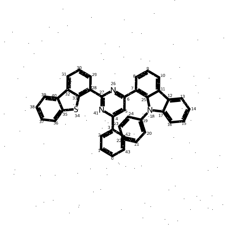 c1ccc(-c2cc(-c3cccc4c5ccccc5n(-c5ccccc5)c34)nc(-c3cccc4c3sc3ccccc34)n2)cc1